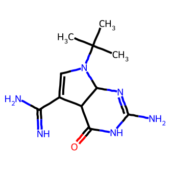 CC(C)(C)N1C=C(C(=N)N)C2C(=O)NC(N)=NC21